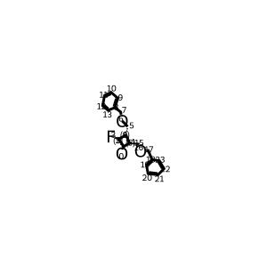 O=C1[C@@H](F)[C@H](COCc2ccccc2)[C@H]1COCc1ccccc1